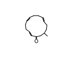 CC1CC/C=C/CC/C=C\CC/C=C/C(=O)C1